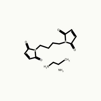 CCCN.N.O=C1C=CC(=O)N1CCCCN1C(=O)C=CC1=O